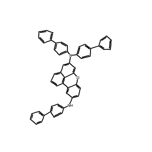 c1ccc(-c2ccc(Nc3ccc4c(c3)-c3cccc5cc(N(c6ccc(-c7ccccc7)cc6)c6ccc(-c7ccccc7)cc6)cc(c35)O4)cc2)cc1